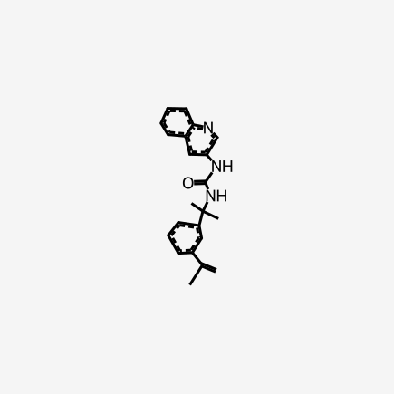 C=C(C)c1cccc(C(C)(C)NC(=O)Nc2cnc3ccccc3c2)c1